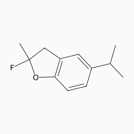 CC(C)c1ccc2c(c1)CC(C)(F)O2